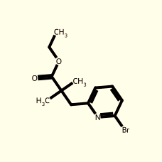 CCOC(=O)C(C)(C)Cc1cccc(Br)n1